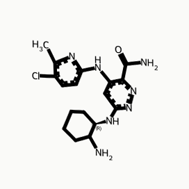 Cc1nc(Nc2cc(N[C@@H]3CCCCC3N)nnc2C(N)=O)ccc1Cl